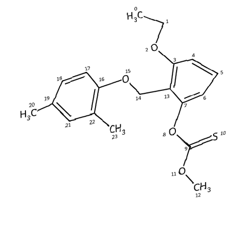 CCOc1cccc(OC(=S)OC)c1COc1ccc(C)cc1C